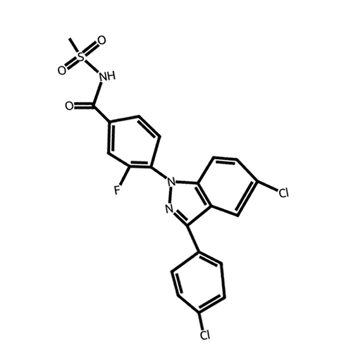 CS(=O)(=O)NC(=O)c1ccc(-n2nc(-c3ccc(Cl)cc3)c3cc(Cl)ccc32)c(F)c1